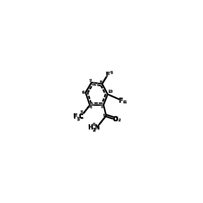 NC(=O)c1c(C(F)(F)F)ccc(F)c1F